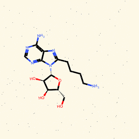 NCCCCc1nc2c(N)ncnc2n1[C@@H]1O[C@H](CO)[C@@H](O)[C@H]1O